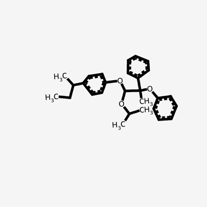 CCC(C)c1ccc(OC(OC(C)C)C(C)(Oc2ccccc2)c2ccccc2)cc1